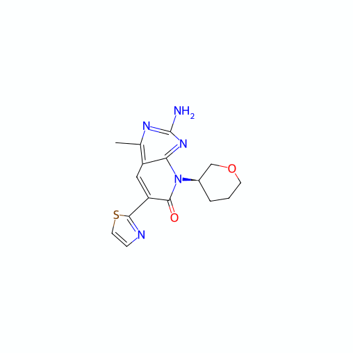 Cc1nc(N)nc2c1cc(-c1nccs1)c(=O)n2[C@@H]1CCCOC1